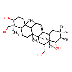 C[C@H]1[C@H](O)[C@@]2(C)C(CC1(C)C)C1=CCC3[C@@]4(C)CC[C@H](O)[C@](C)(CO)C4CC[C@@]3(C)[C@]1(C)C[C@H]2CO